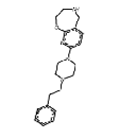 c1ccc(CCN2CCN(c3ccc4c(n3)OCCNC4)CC2)cc1